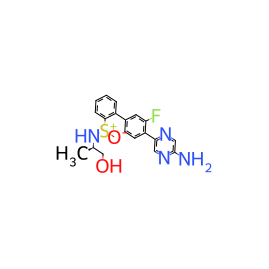 C[C@H](CO)N[S+]([O-])c1ccccc1-c1ccc(-c2cnc(N)cn2)c(F)c1